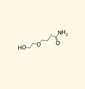 NC(=O)[CH]CCOCCO